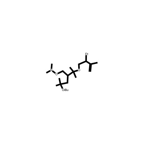 C=C(C)C(CC)COC(C)(C)C(CON(C)C)CC(C)(C)OCC(C)C